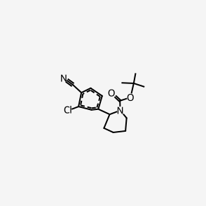 CC(C)(C)OC(=O)N1CCCCC1c1ccc(C#N)c(Cl)c1